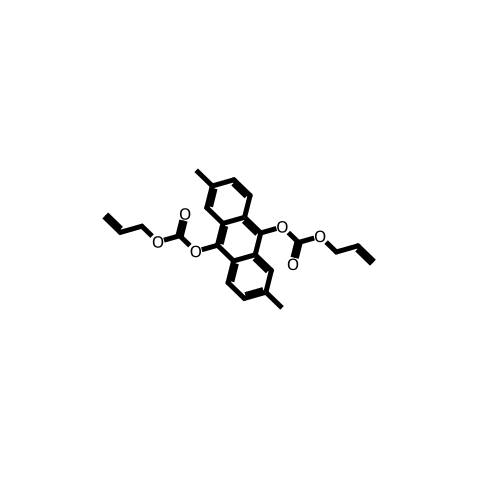 C=CCOC(=O)Oc1c2ccc(C)cc2c(OC(=O)OCC=C)c2ccc(C)cc12